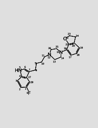 Fc1ccc2[nH]cc(CCCCN3CCN(c4cccc5c4OCC5)CC3)c2c1